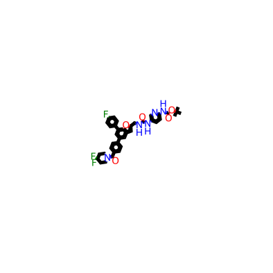 CC(C)(C)OC(=O)Nc1ccc(NC(=O)NCc2cc3cc(-c4ccc(C(=O)N5CCC(F)(F)CC5)cc4)cc(-c4ccc(F)cc4)c3o2)cn1